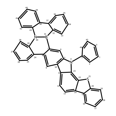 c1ccc(-n2c3cc4c(cc3c3ccc5c6ccccc6sc5c32)-c2ccccc2N2B4c3ccccc3-c3ccccc32)cc1